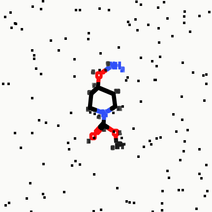 CC(C)OC(=O)N1CCC(ON)CC1